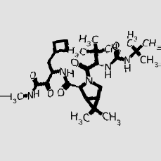 CNC(=O)C(=O)C(CC1CCC1)NC(=O)[C@@H]1C2C(CN1C(=O)[C@@H](NC(=O)NC(C)(C)C)C(C)(C)C)C2(C)C